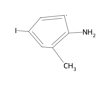 Cc1cc(I)c[c]c1N